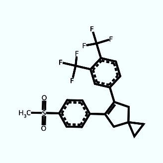 CS(=O)(=O)c1ccc(C2=C(c3ccc(C(F)(F)F)c(C(F)(F)F)c3)CC3(CC3)C2)cc1